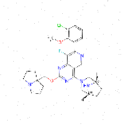 Fc1c(-c2cccc(Cl)c2OC(F)(F)F)ncc2c(N3C[C@H]4CC[C@@H](C3)N4)nc(OCC34CCCN3CCC4)nc12